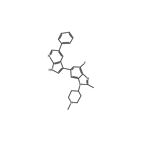 Cc1nc2c(F)cc(-c3c[nH]c4ncc(-c5ccccc5)cc34)cc2n1C1CCN(C)CC1